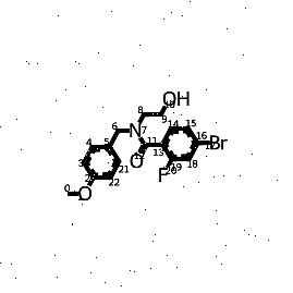 COc1ccc(CN(CCO)C(=O)c2ccc(Br)cc2F)cc1